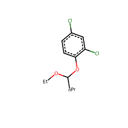 CCCC(OCC)Oc1ccc(Cl)cc1Cl